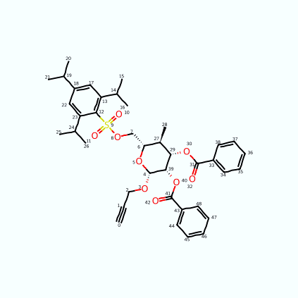 C#CCO[C@@H]1O[C@H](COS(=O)(=O)c2c(C(C)C)cc(C(C)C)cc2C(C)C)[C@@H](C)[C@H](OC(=O)c2ccccc2)[C@@H]1OC(=O)c1ccccc1